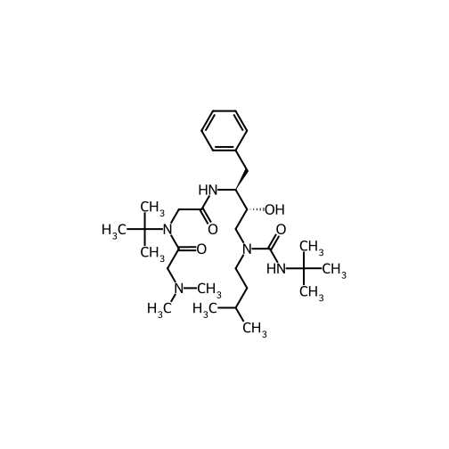 CC(C)CCN(C[C@@H](O)[C@H](Cc1ccccc1)NC(=O)CN(C(=O)CN(C)C)C(C)(C)C)C(=O)NC(C)(C)C